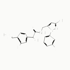 C=Cc1ccc(C(C)C(=O)NCc2cc(C(F)(F)F)nn2-c2cccc(Cl)c2)cc1F